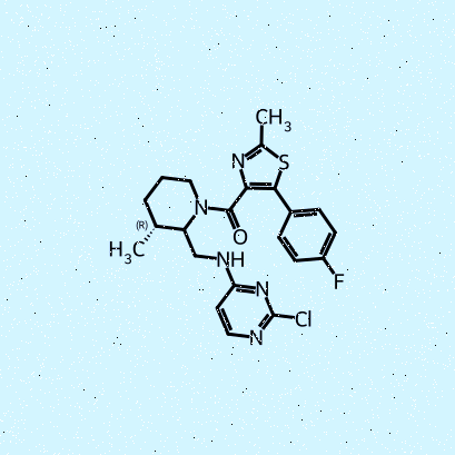 Cc1nc(C(=O)N2CCC[C@@H](C)C2CNc2ccnc(Cl)n2)c(-c2ccc(F)cc2)s1